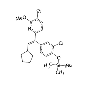 CCc1ccc(C(=CC2CCCC2)c2ccc(O[Si](C)(C)C(C)(C)C)c(Cl)c2)nc1OC